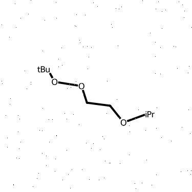 CC(C)OCCOOC(C)(C)C